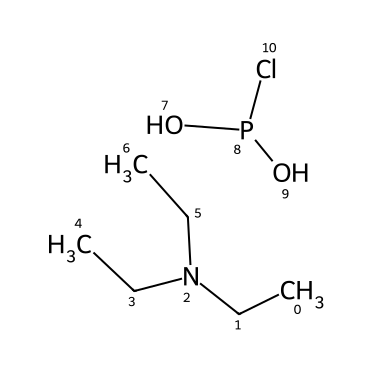 CCN(CC)CC.OP(O)Cl